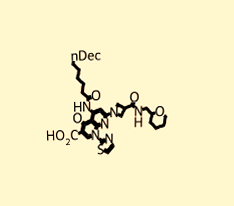 CCCCCCCCCCCCCCCC(=O)Nc1cc(N2CC(C(=O)NCC3CCCCO3)C2)nc2c1c(=O)c(C(=O)O)cn2-c1nccs1